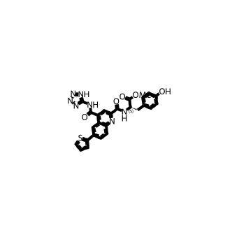 COC(=O)[C@H](Cc1ccc(O)cc1)NC(=O)c1cc(C(=O)Nc2nnn[nH]2)c2cc(-c3cccs3)ccc2n1